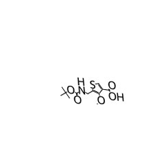 COc1c(C(=O)O)csc1CNC(=O)OC(C)(C)C